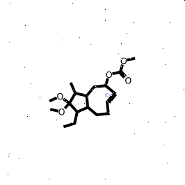 CCC1C2CC/C=C/C(OC(=O)OC)CC2C(C)C1(OC)OC